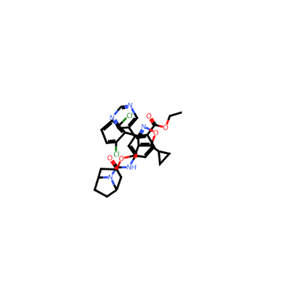 CCOC(=O)c1ccc(NC(=O)N2C3CCC2CC(OCc2c(-c4c(Cl)cccc4Cl)noc2C2CC2)C3)cc1-c1cncnc1